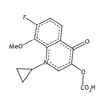 COc1c(F)ccc2c(=O)c(OC(=O)O)cn(C3CC3)c12